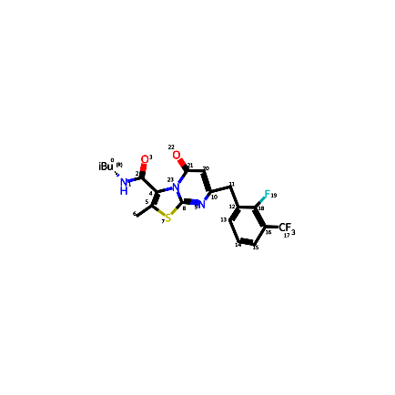 CC[C@@H](C)NC(=O)c1c(C)sc2nc(Cc3cccc(C(F)(F)F)c3F)cc(=O)n12